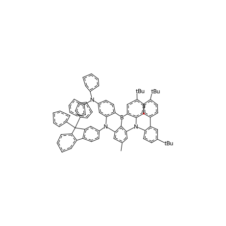 Cc1cc2c3c(c1)N(c1ccc(C(C)(C)C)cc1-c1ccc(C(C)(C)C)cc1)c1ccc(C(C)(C)C)cc1B3c1ccc(N(c3ccccc3)c3ccccc3)cc1N2c1ccc2c(c1)C(c1ccccc1)(c1ccccc1)c1ccccc1-2